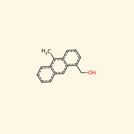 Cc1c2ccccc2cc2c(CO)cccc12